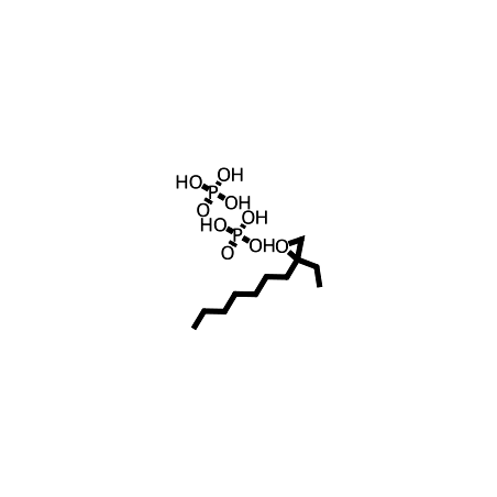 CCCCCCCC1(CC)CO1.O=P(O)(O)O.O=P(O)(O)O